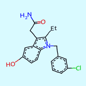 CCc1c(CC(N)=O)c2cc(O)ccc2n1Cc1cccc(Cl)c1